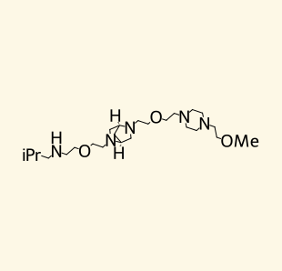 COCCN1CCN(CCOCCN2C[C@@H]3C[C@H]2CN3CCOCCNCC(C)C)CC1